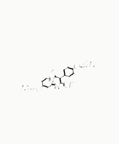 COc1ccn2c(=O)c(-c3ccc(OCC#N)cc3)c(C(F)(F)F)nc2c1